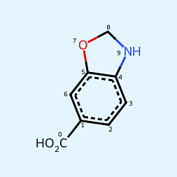 O=C(O)c1ccc2c(c1)OCN2